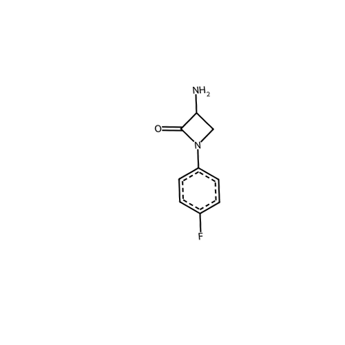 NC1CN(c2ccc(F)cc2)C1=O